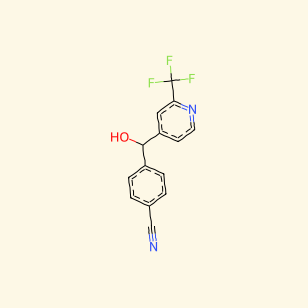 N#Cc1ccc(C(O)c2ccnc(C(F)(F)F)c2)cc1